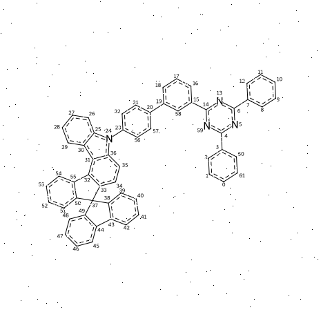 c1ccc(-c2nc(-c3ccccc3)nc(-c3cccc(-c4ccc(-n5c6ccccc6c6c7c(ccc65)C5(c6ccccc6-c6ccccc65)c5ccccc5-7)cc4)c3)n2)cc1